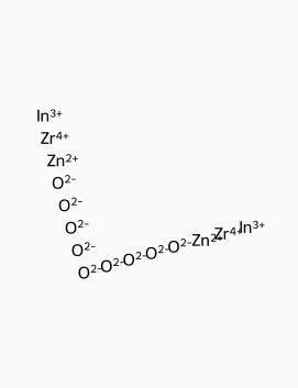 [In+3].[In+3].[O-2].[O-2].[O-2].[O-2].[O-2].[O-2].[O-2].[O-2].[O-2].[Zn+2].[Zn+2].[Zr+4].[Zr+4]